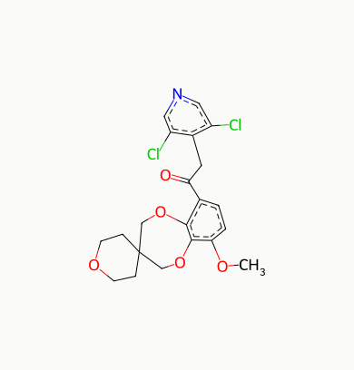 COc1ccc(C(=O)Cc2c(Cl)cncc2Cl)c2c1OCC1(CCOCC1)CO2